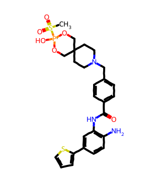 CS(=O)(=O)[P]1(O)OCC2(CCN(Cc3ccc(C(=O)Nc4cc(-c5cccs5)ccc4N)cc3)CC2)CO1